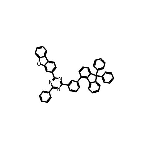 c1ccc(-c2nc(-c3cccc(-c4cccc5c4-c4ccccc4C5(c4ccccc4)c4ccccc4)c3)nc(-c3ccc4c(c3)oc3ccccc34)n2)cc1